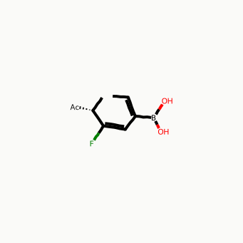 C/C=C(\C=C(\F)[C@@H](C)C(C)=O)B(O)O